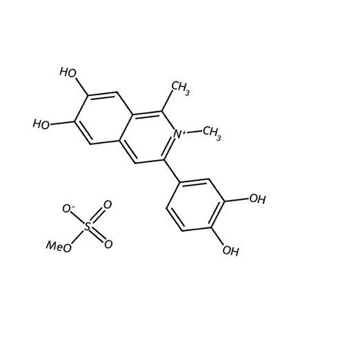 COS(=O)(=O)[O-].Cc1c2cc(O)c(O)cc2cc(-c2ccc(O)c(O)c2)[n+]1C